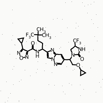 CC(C)(CCC(NC(=O)c1nonc1C1CC1)c1cn2ncc(C(COC3CC3)N3CC(C(F)(F)F)NC3=O)cc2n1)C(F)(F)F